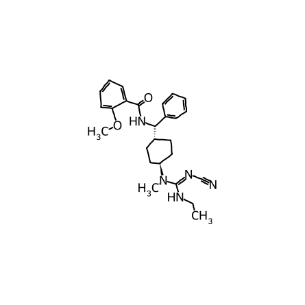 CCNC(=NC#N)N(C)[C@H]1CC[C@H](C(NC(=O)c2ccccc2OC)c2ccccc2)CC1